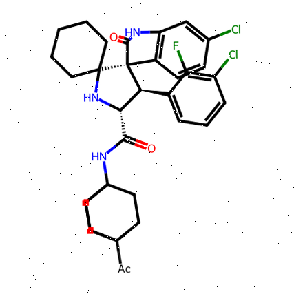 CC(=O)C12CCC(NC(=O)[C@@H]3NC4(CCCCC4)[C@@]4(C(=O)Nc5cc(Cl)ccc54)[C@H]3c3cccc(Cl)c3F)(CC1)CC2